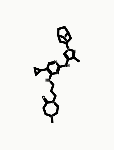 Cc1nn(C2CC3CCC(C2)N3C)cc1Nc1ncc(C2CC2)c(NCCCN2CCN(C)CCC2=O)n1